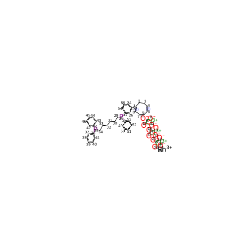 C1=C\CC/C=C\CC/1.[O-][Cl+3]([O-])([O-])[O-].[O-][Cl+3]([O-])([O-])[O-].[O-][Cl+3]([O-])([O-])[O-].[Rh+3].c1ccc(P(CCCCCCP(c2ccccc2)c2ccccc2)c2ccccc2)cc1